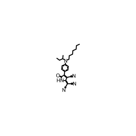 CCCCCCCN(c1ccc(C2=C(C#N)C(=C(C#N)C#N)NC2=O)cc1)C(C)CC